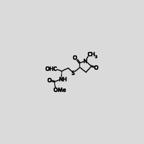 COC(=O)NC(C=O)CSC1CC(=O)N(C)C1=O